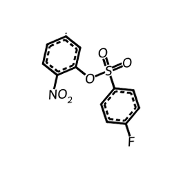 O=[N+]([O-])c1cc[c]cc1OS(=O)(=O)c1ccc(F)cc1